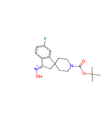 CC(C)(C)OC(=O)N1CCC2(CC1)C/C(=N\O)c1ccc(F)cc12